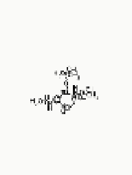 COC(=O)Nc1ccc2c(c1)NC(=O)OCCC[C@H](NC(=O)OC(C)(C)C)c1nc-2cn1COCC[Si](C)(C)C